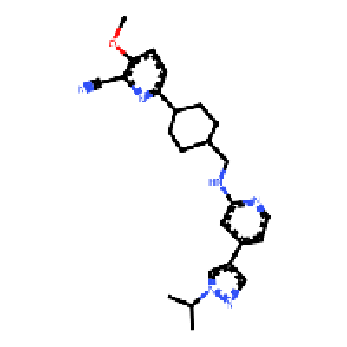 COc1ccc(C2CCC(CNc3cc(-c4cnn(C(C)C)c4)ccn3)CC2)nc1C#N